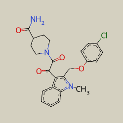 Cn1c(COc2ccc(Cl)cc2)c(C(=O)C(=O)N2CCC(C(N)=O)CC2)c2ccccc21